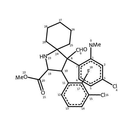 CNc1cc(Cl)ccc1C1(C=O)C(c2cccc(Cl)c2F)C(C(=O)OC)NC12CCCCC2